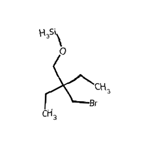 CCC(CC)(CBr)CO[SiH3]